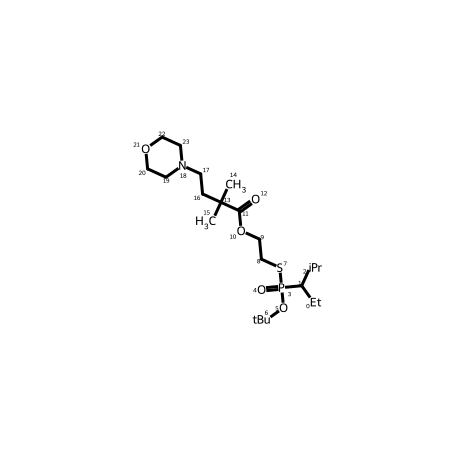 CCC(C(C)C)P(=O)(OC(C)(C)C)SCCOC(=O)C(C)(C)CCN1CCOCC1